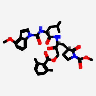 COC(=O)N1CC[C@@H](C[C@H](NC(=O)[C@H](CC(C)C)NC(=O)n2ccc3c(OC)cccc32)C(=O)COC(=O)c2c(C)cccc2C)C1=O